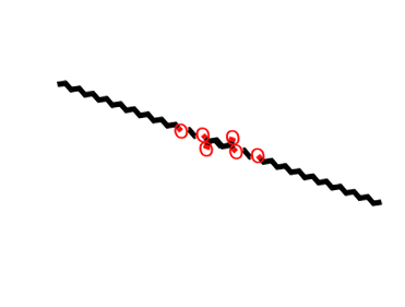 CCCCCCCCCCCCCCCCCCOCCOC(=O)/C=C/C(=O)OCCOCCCCCCCCCCCCCCCCCC